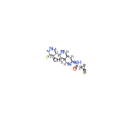 Cc1c(F)cncc1-c1cc2cnc(NC(=O)[C@@H]3C[C@@H]3F)cc2cn1